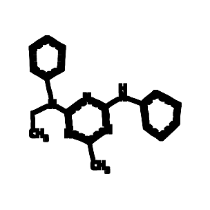 CCN(c1ccccc1)c1nc(C)nc(Nc2ccccc2)n1